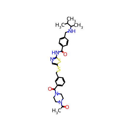 CC(=O)N1CCN(C(=O)c2cccc(CSc3cnc(NC(=O)c4ccc(CNC(C)C(C)C)cc4)s3)c2)CC1